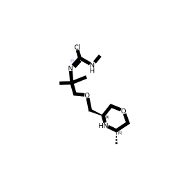 CN/C(Cl)=N\C(C)(C)COC[C@H]1COC[C@H](C)N1